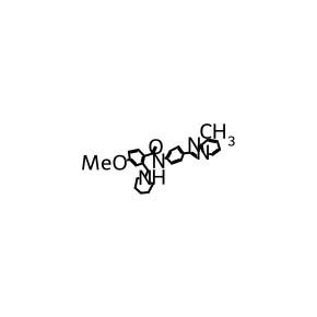 COc1ccc(C(=O)Nc2ccc(-c3cn4cccc(C)c4n3)cc2)c(CN2CCCCC2)c1